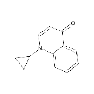 O=c1ccn(C2CC2)c2ccccc12